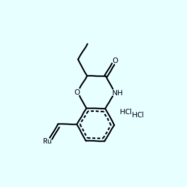 CCC1Oc2c([CH]=[Ru])cccc2NC1=O.Cl.Cl